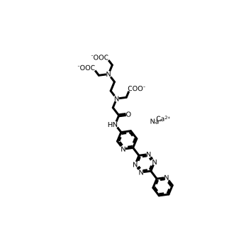 O=C([O-])CN(CCN(CC(=O)[O-])CC(=O)Nc1ccc(-c2nnc(-c3ccccn3)nn2)nc1)CC(=O)[O-].[Ca+2].[Na+]